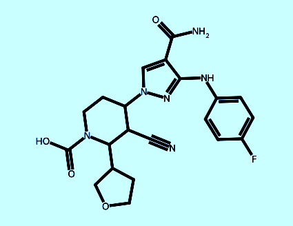 N#CC1C(C2CCOC2)N(C(=O)O)CCC1n1cc(C(N)=O)c(Nc2ccc(F)cc2)n1